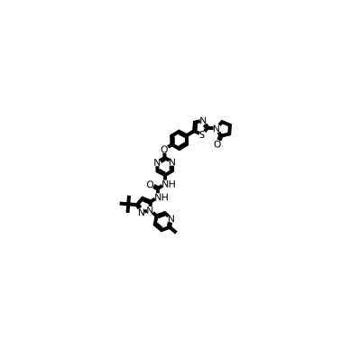 Cc1ccc(-n2nc(C(C)(C)C)cc2NC(=O)Nc2cnc(Oc3ccc(-c4cnc(N5CCCC5=O)s4)cc3)nc2)cn1